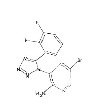 Nc1ncc(Br)cc1-n1nnnc1-c1cccc(F)c1F